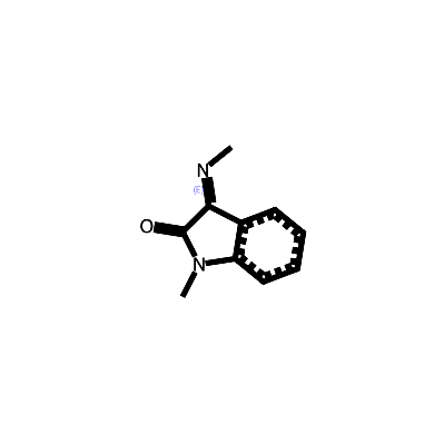 C/N=C1/C(=O)N(C)c2ccccc21